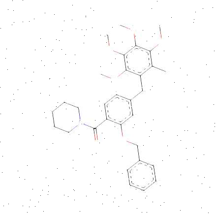 COc1c(C)c(Cc2ccc(C(=O)N3CCCCC3)c(OCc3ccccc3)c2)c(OC)c(OC)c1OC